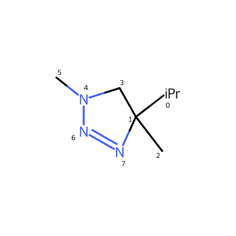 CC(C)C1(C)CN(C)N=N1